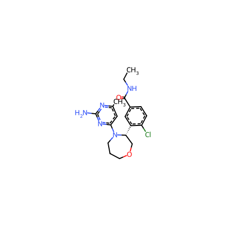 CCNC(=O)c1ccc(Cl)c([C@@H]2COCCCN2c2cc(C)nc(N)n2)c1